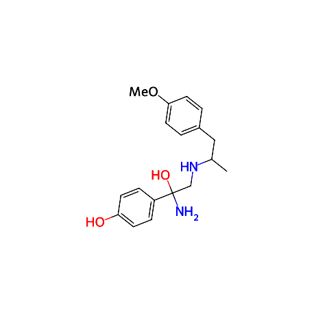 COc1ccc(CC(C)NCC(N)(O)c2ccc(O)cc2)cc1